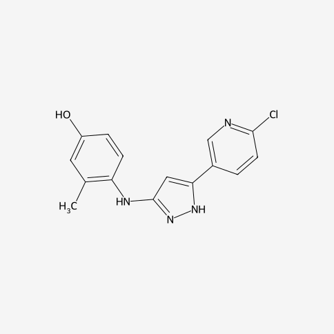 Cc1cc(O)ccc1Nc1cc(-c2ccc(Cl)nc2)[nH]n1